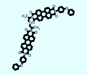 CC(COCC(C)N1C(=O)c2ccc3c4ccc5c6c(ccc(c7ccc(c2c37)C1=O)c64)C(=O)N(c1ccc(Oc2ccccc2)cc1)C5=O)N1C(=O)c2ccc3c4ccc5c6c(ccc(c7ccc(c2c37)C1=O)c64)C(=O)N(c1ccc(Oc2ccccc2)cc1)C5=O